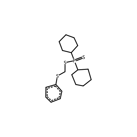 S=P(SCSc1ccccc1)(C1CCCCC1)C1CCCCC1